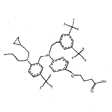 CCCN(CC1CC1)c1ccc(C(F)(F)F)cc1CN(Cc1cc(C(F)(F)F)cc(C(F)(F)F)c1)c1ncc(OCCCC(=O)O)cn1